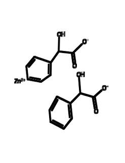 O=C([O-])C(O)c1ccccc1.O=C([O-])C(O)c1ccccc1.[Zn+2]